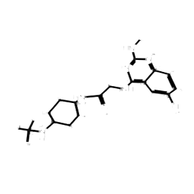 CNc1nc(NCC(=O)NC2CCC(NC(C)(C)C)CC2)c2cc(Cl)ccc2n1